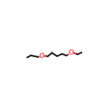 CCCOC[CH]CCCOCC